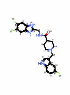 O=C(NCc1nc2cc(F)c(F)cc2[nH]1)C1CCN(Cc2c[nH]c3ccc(F)cc23)CC1